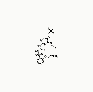 CCCOc1ccccc1S(=O)(=O)NC(=O)NC1=NC(OC)N(OCC(F)(F)F)C=N1